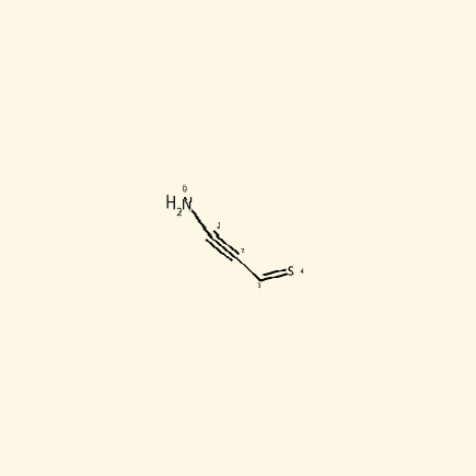 NC#CC=S